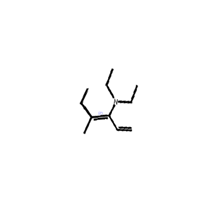 C=C/C(=C(\C)CC)N(CC)CC